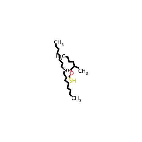 CCCCC(CC)COCS.CCCCCCC[CH2][Sn][CH2]CCCCCCC